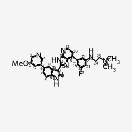 COc1cncc(-c2ccc3[nH]nc(-c4nc5c(-c6cc(F)cc(NCCN(C)C)c6)ccnc5[nH]4)c3c2)c1